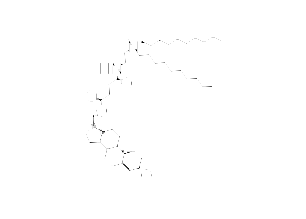 CCCCCCCCCC[N+](C)(CCCCCCCCCC)CCNC(=O)CCC(=O)O[C@@H](C)[C@H]1CCC2C3CCC4=CC(=O)CC[C@]4(C)C3CC[C@@]21C